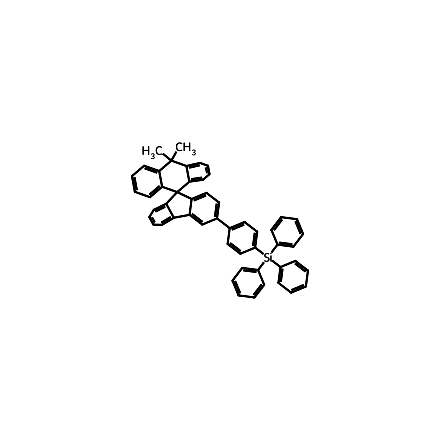 CC1(C)c2ccccc2C2(c3ccccc3-c3cc(-c4ccc([Si](c5ccccc5)(c5ccccc5)c5ccccc5)cc4)ccc32)c2ccccc21